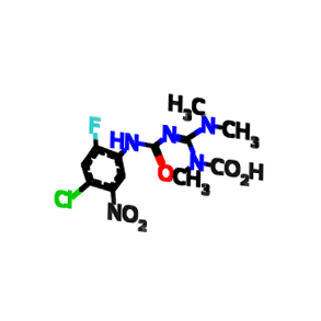 CN(C)C(=NC(=O)Nc1cc([N+](=O)[O-])c(Cl)cc1F)N(C)C(=O)O